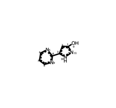 Oc1cc(-c2ncccn2)[nH]n1